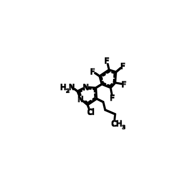 CCCCc1c(Cl)nc(N)nc1-c1c(F)c(F)c(F)c(F)c1F